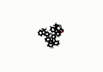 CC1(C)c2ccccc2-c2ccc(N(c3ccc4c(c3)C(c3ccccc3)(c3ccccc3)c3ccccc3-4)c3cccc4c3-c3ccccc3C43c4ccccc4Oc4ccccc43)cc21